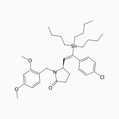 CCC[CH2][Sn]([CH2]CCC)([CH2]CCC)/[C](=C/[C@H]1CCC(=O)N1Cc1ccc(OC)cc1OC)c1ccc(Cl)cc1